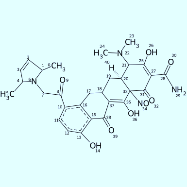 CC1C=CC(C)N1CC(=O)c1ccc(O)c2c1CC1C[C@H]3C(N(C)C)C(O)=C(C(N)=O)C(=O)C3(N=O)C(O)=C1C2=O